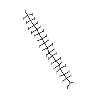 IN(I)C(I)(I)C(I)(I)C(I)(I)C(I)(I)C(I)(I)C(I)(I)C(I)(I)C(I)(I)C(I)(I)C(I)(I)C(I)(I)C(I)(I)C(I)(I)C(I)(I)C(I)(I)I